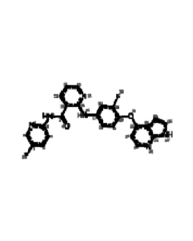 O=C(Nc1ccc(F)cn1)c1cccnc1Nc1ccc(Oc2ccnc3[nH]ccc23)c(F)c1